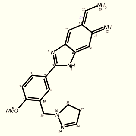 COc1ccc(-c2nc3c([nH]2)=CC(=N)/C(=C\N)C=3)cc1CN1CCC=N1